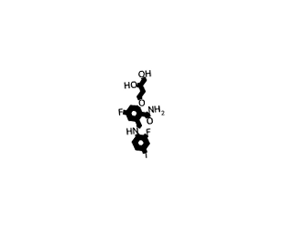 NC(=O)c1c(CNc2ccc(I)cc2F)cc(F)cc1OCCC(O)CO